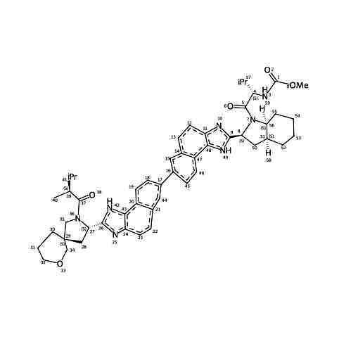 COC(=O)N[C@H](C(=O)N1[C@H](c2nc3ccc4cc(-c5ccc6c(ccc7nc([C@@H]8C[C@@]9(CCCOC9)CN8C(=O)[C@@H](C)C(C)C)[nH]c76)c5)ccc4c3[nH]2)C[C@@H]2CCCC[C@@H]21)C(C)C